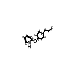 FCCN1CCC(OC2C=C[C]=CN2)CC1